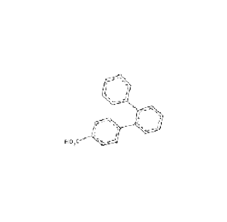 O=C(O)c1ccc(-c2ccccc2-c2ccccc2)cc1